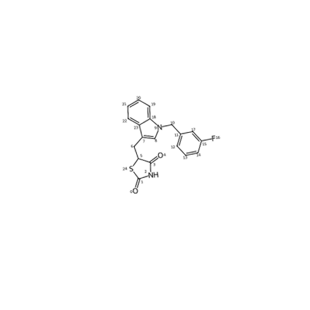 O=C1NC(=O)C(Cc2cn(Cc3cccc(F)c3)c3ccccc23)S1